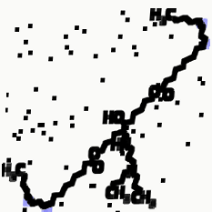 CCCC/C=C\C/C=C\CCCCCCCC(=O)OCCCCCC(O)C(CCCCOC(=O)CCCCCCC/C=C\C/C=C\CCCC)CNCCCN(CCCC)CCCC